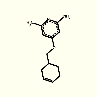 Nc1cc(OCC2CC=CCC2)cc(N)n1